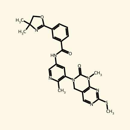 CSc1ncc2c(n1)N(C)C(=O)N(c1cc(NC(=O)c3cccc(C4=NC(C)(C)CO4)c3)cnc1C)C2